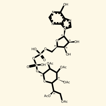 CC(=O)OC[C@@H](OC(C)=O)C1O[C@@H](OP(=O)(O)OP(=O)(O)OC[C@H]2O[C@@H](n3cnc4c(O)ncnc43)[C@@H](O)[C@H]2O)C(OC(C)=O)C(OC(C)=O)[C@@H]1OC(C)=O